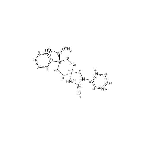 CN(C)[C@]1(c2ccccc2)CC[C@]2(CC1)CN(c1cnccn1)C(=O)N2